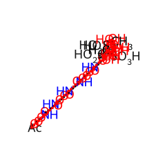 CC(=O)CCOCCOCCOCCNC(=O)CCCCCCCNC(=O)CCOCCCOCCC(=O)NCCCCCCCC(=O)NCCOCCOCCOCCC(=O)NCCCCCCOC1OC(C(=O)O)C(OC2OC(COS(=O)(=O)O)C(OC3OC(C(=O)O)C(OC4OC(COS(=O)(=O)O)C(O)C(O)C4C)C(O)C3O)C(O)C2C)C(O)C1O